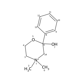 C[N+]1(C)CCOC(O)(c2ccccc2)C1